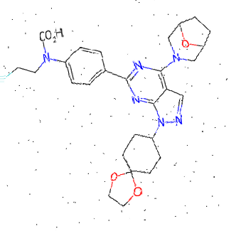 O=C(O)N(CCF)c1ccc(-c2nc(N3CC4CCC(C3)O4)c3cnn(C4CCC5(CC4)OCCO5)c3n2)cc1